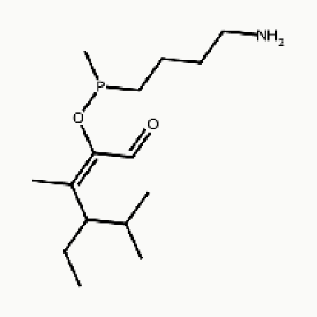 CCC(/C(C)=C(\C=O)OP(C)CCCCN)C(C)C